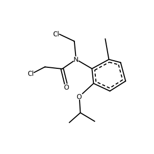 Cc1cccc(OC(C)C)c1N(CCl)C(=O)CCl